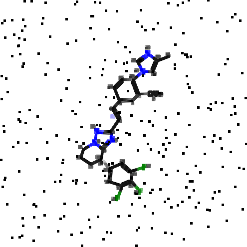 COc1cc(/C=C/c2nc3n(n2)CCC[C@H]3c2cc(F)c(F)c(F)c2)ccc1-n1cnc(C)c1